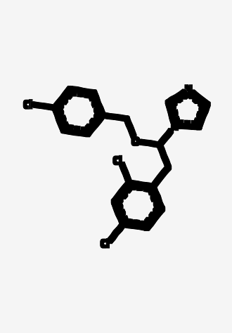 Clc1ccc(COC(Cc2ccc(Cl)cc2Cl)n2ccnc2)cc1